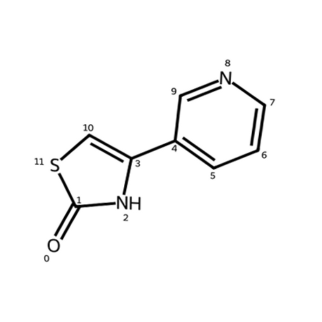 O=c1[nH]c(-c2cccnc2)cs1